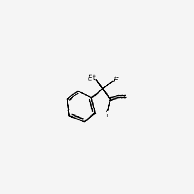 C=C(I)C(F)(CC)c1ccccc1